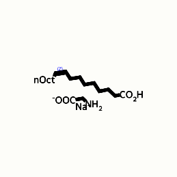 CCCCCCCC/C=C\CCCCCCCC(=O)O.NCC(=O)[O-].[Na+]